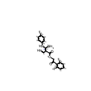 N=C/C(C(=O)OCC(=O)c1c(F)cccc1F)=C(/N)Nc1ccc(F)cc1